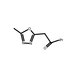 Cc1nnc(CC(=O)C(C)C)o1